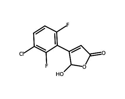 O=C1C=C(c2c(F)ccc(Cl)c2F)C(O)O1